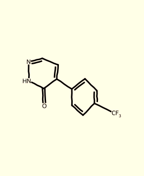 O=c1[nH]nccc1-c1ccc(C(F)(F)F)cc1